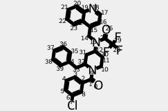 O=C(c1cccc(Cl)c1)N1CCC(N(Cc2ccnc3ccccc23)C(=O)C(F)(F)F)CC1Cc1ccccc1